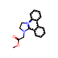 COC(=O)CN1CC[n+]2c1c1ccccc1c1ccccc12